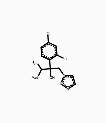 CSC(C)C(O)(Cn1ccnn1)c1ccc(Cl)cc1Cl